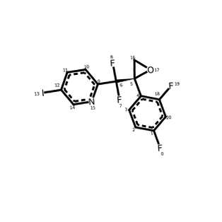 Fc1ccc([C@]2(C(F)(F)c3ccc(I)cn3)CO2)c(F)c1